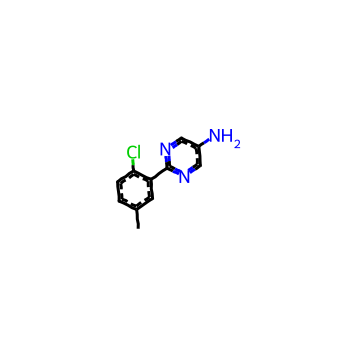 Cc1ccc(Cl)c(-c2ncc(N)cn2)c1